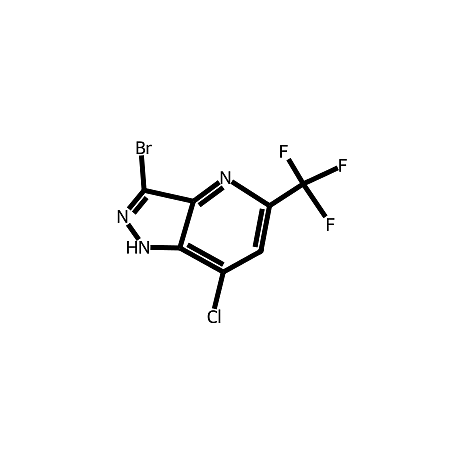 FC(F)(F)c1cc(Cl)c2[nH]nc(Br)c2n1